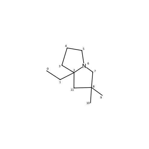 CCC12CCCN1CC(C)(C)C2